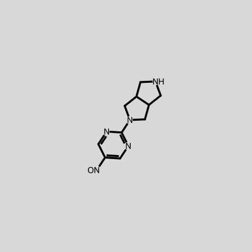 O=Nc1cnc(N2CC3CNCC3C2)nc1